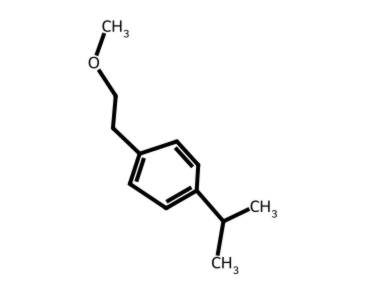 COCCc1ccc(C(C)C)cc1